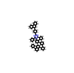 N#Cc1cccc(-c2cccc(-c3ccccc3-c3ccc4c5c(cccc35)-c3ccccc3-4)c2)c1-c1ccccc1-c1nc(-c2ccccc2)nc(-c2ccc(-c3cc4ccccc4c4ccccc34)cc2)n1